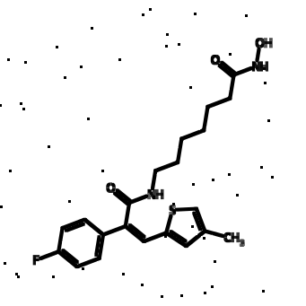 Cc1csc(C=C(C(=O)NCCCCCCC(=O)NO)c2ccc(F)cc2)c1